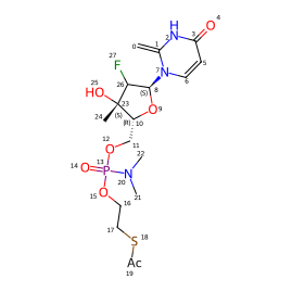 C=C1NC(=O)C=CN1[C@H]1O[C@H](COP(=O)(OCCSC(C)=O)N(C)C)[C@](C)(O)C1F